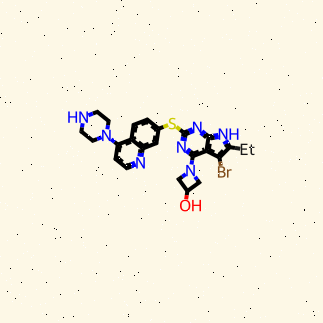 CCc1[nH]c2nc(Sc3ccc4c(N5CCNCC5)ccnc4c3)nc(N3CC(O)C3)c2c1Br